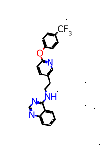 FC(F)(F)c1ccc(Oc2ccc(CCNc3ncnc4ccccc34)cn2)cc1